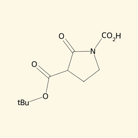 CC(C)(C)OC(=O)C1CCN(C(=O)O)C1=O